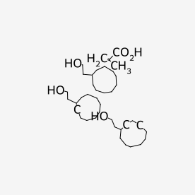 C=C(C)C(=O)O.OCCC1CCCCCCCCC1.OCCC1CCCCCCCCC1.OCCC1CCCCCCCCC1